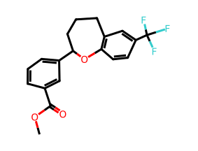 COC(=O)c1cccc(C2CCCc3cc(C(F)(F)F)ccc3O2)c1